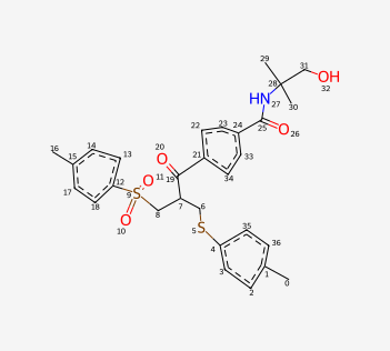 Cc1ccc(SCC(CS(=O)(=O)c2ccc(C)cc2)C(=O)c2ccc(C(=O)NC(C)(C)CO)cc2)cc1